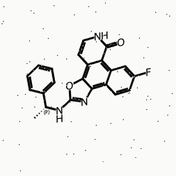 C[C@@H](Nc1nc2c3ccc(F)cc3c3c(=O)[nH]ccc3c2o1)c1ccccc1